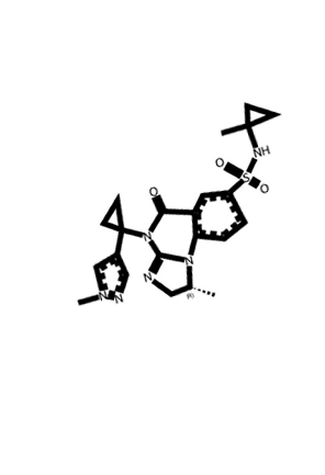 C[C@@H]1CN=C2N1c1ccc(S(=O)(=O)NC3(C)CC3)cc1C(=O)N2C1(c2cnn(C)c2)CC1